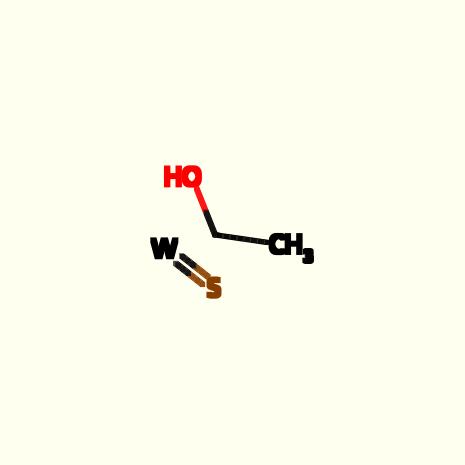 CCO.[S]=[W]